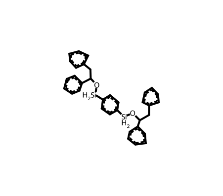 c1ccc(CC(O[SiH2]c2ccc([SiH2]OC(Cc3ccccc3)c3ccccc3)cc2)c2ccccc2)cc1